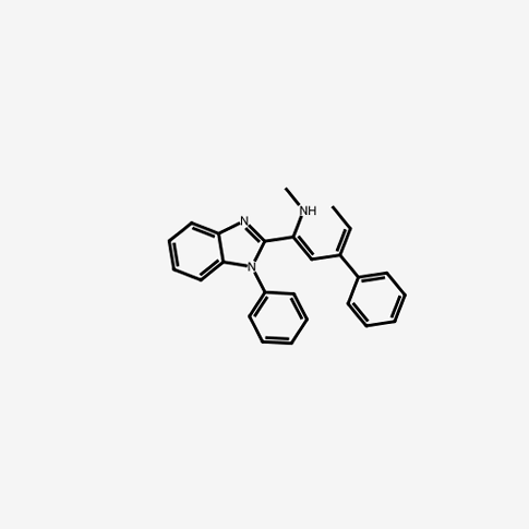 C/C=C(\C=C(/NC)c1nc2ccccc2n1-c1ccccc1)c1ccccc1